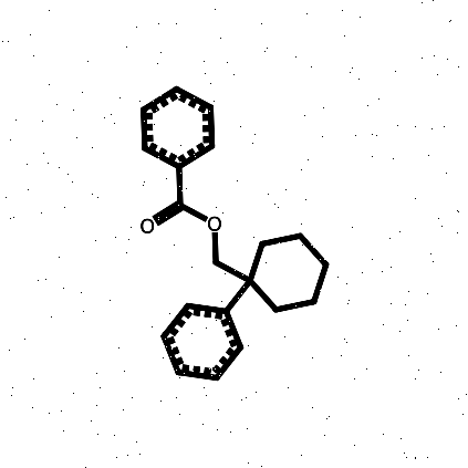 O=C(OCC1(c2ccccc2)CCCCC1)c1ccccc1